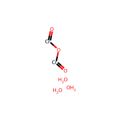 O.O.O.[O]=[Cr][O][Cr]=[O]